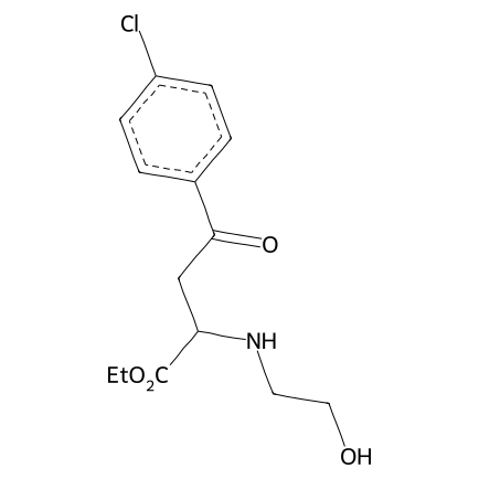 CCOC(=O)C(CC(=O)c1ccc(Cl)cc1)NCCO